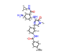 Cc1c(NC(=O)c2ccc(C(C)(C)C)cc2)cccc1-c1cn(C)c(=O)c(Nc2ccc(N)cc2C(=O)NC2CC2)n1